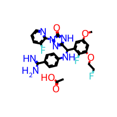 CC(=O)O.COc1cc(OCCF)c(F)c(C(Nc2ccc(C(=N)N)cc2)c2nn(-c3ncccc3F)c(=O)[nH]2)c1